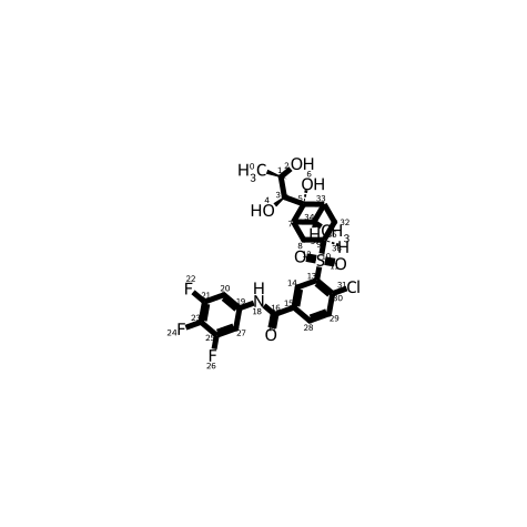 C[C@@H](O)[C@H](O)[C@]1(O)C2C[C@H](S(=O)(=O)c3cc(C(=O)Nc4cc(F)c(F)c(F)c4)ccc3Cl)CC1[C@@H]2C